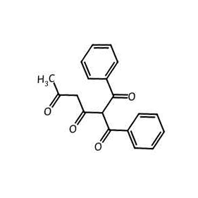 CC(=O)CC(=O)C(C(=O)c1ccccc1)C(=O)c1ccccc1